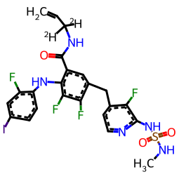 [2H]C([2H])(C=C)NC(=O)c1cc(Cc2ccnc(NS(=O)(=O)NC)c2F)c(F)c(F)c1Nc1ccc(I)cc1F